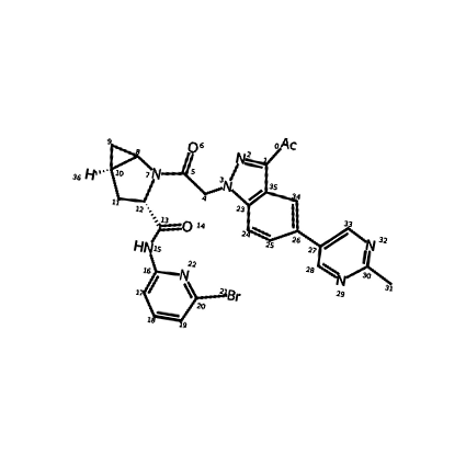 CC(=O)c1nn(CC(=O)N2C3C[C@@H]3C[C@H]2C(=O)Nc2cccc(Br)n2)c2ccc(-c3cnc(C)nc3)cc12